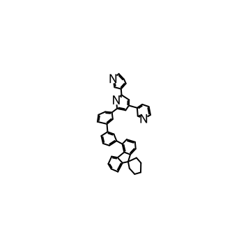 c1cncc(-c2cc(-c3cccnc3)nc(-c3cccc(-c4cccc(-c5cccc6c5-c5ccccc5C65CCCCC5)c4)c3)c2)c1